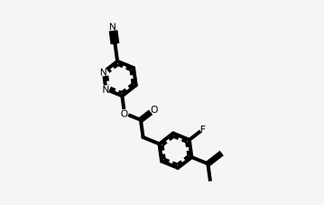 C=C(C)c1ccc(CC(=O)Oc2ccc(C#N)nn2)cc1F